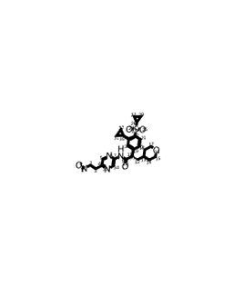 O=NCCc1cnc(NC(=O)[C@H](CC2CCOCC2)c2ccc(S(=O)(=O)C3CC3)c(C3CC3)c2)cn1